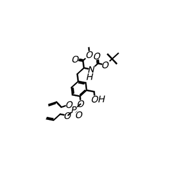 C=CCOP(=O)(OCC=C)Oc1ccc(CC(NC(=O)OC(C)(C)C)C(=O)OC)cc1CO